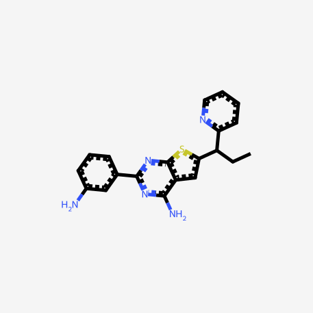 CCC(c1ccccn1)c1cc2c(N)nc(-c3cccc(N)c3)nc2s1